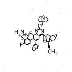 CC#CC(=O)N1CC2CC2C1CNc1nc(OCC23CCCN2CCC3)nc2c(F)c(-c3ccc(F)c4sc(N)nc34)c(-c3ccoc3)cc12